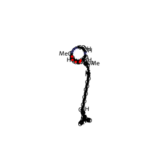 CO[C@H]1C[C@@H]2CC[C@@H](C)[C@@](O)(O2)C(=O)C(=O)N2CCCC[C@H]2C(=O)O[C@H]([C@H](N)C[C@@H]2CC[C@@H](OCCCCc3cn(CCOCCOCCOCCOCCOCCOCCOCCOCCNC(=O)c4ccc(-c5ccc6c(N7CCOC[C@H]7C)nc(N7CCOC[C@H]7C)nc6n5)cc4)nn3)[C@H](OC)C2)CC(=O)[C@H](C)/C=C(\C)[C@@H](O)[C@@H](O)C(=O)[C@H](C)C[C@H](C)/C=C/C=C/C=C/1C